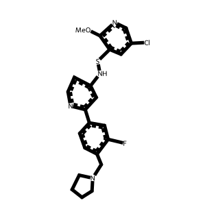 COc1ncc(Cl)cc1SNc1ccnc(-c2ccc(CN3CCCC3)c(F)c2)c1